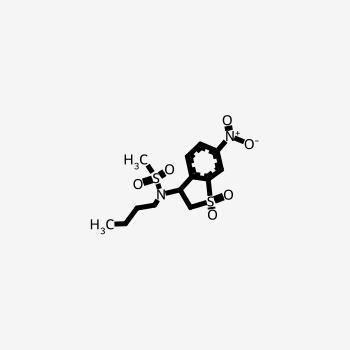 CCCCN(C1CS(=O)(=O)c2cc([N+](=O)[O-])ccc21)S(C)(=O)=O